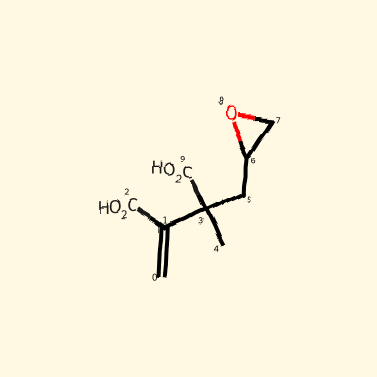 C=C(C(=O)O)C(C)(CC1CO1)C(=O)O